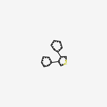 [c]1cccc(-c2cscc2-c2ccccc2)c1